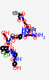 Cc1cccc2c(OC(=O)N(CCOCCO)CCN(C)C(=O)OCc3ccc(NC(=O)[C@H](CCCNC(N)=O)NC(=O)[C@@H](NC(=O)OCCOCCN4C(=O)CC(C(C)(C)C)C4=O)C(C)C)cc3)cc3c(c12)[C@H](CCl)CN3C(=O)c1cn2cc(NC(=O)c3ccc(O)cc3)ccc2n1